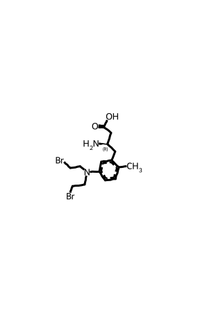 Cc1ccc(N(CCBr)CCBr)cc1C[C@@H](N)CC(=O)O